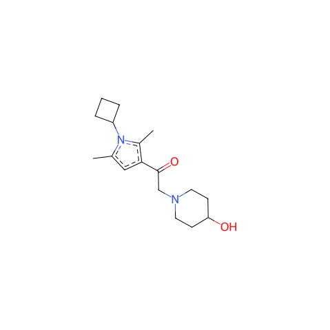 Cc1cc(C(=O)CN2CCC(O)CC2)c(C)n1C1CCC1